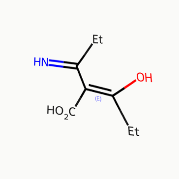 CCC(=N)/C(C(=O)O)=C(\O)CC